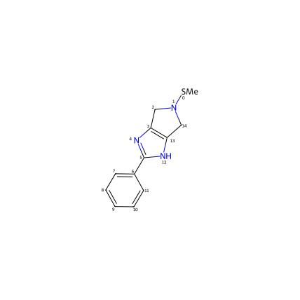 CSN1Cc2nc(-c3ccccc3)[nH]c2C1